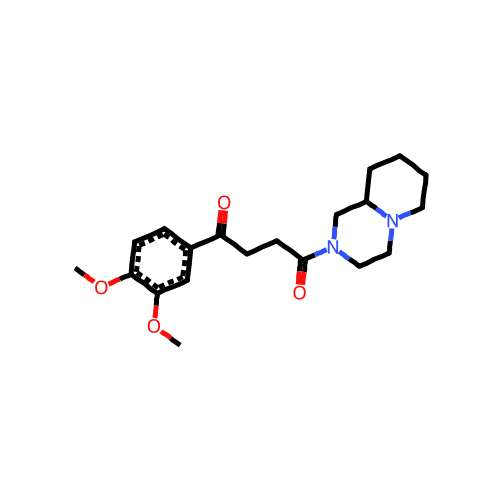 COc1ccc(C(=O)CCC(=O)N2CCN3CCCCC3C2)cc1OC